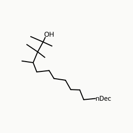 CCCCCCCCCCCCCCCCCC(C)C(C)(C)C(C)(C)O